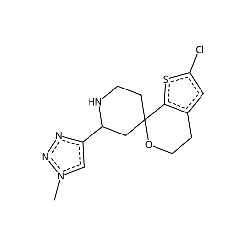 Cn1cc(C2CC3(CCN2)OCCc2cc(Cl)sc23)nn1